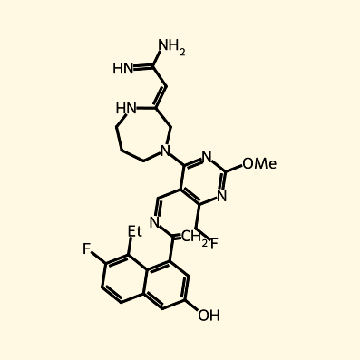 C=C(/N=C\c1c(CF)nc(OC)nc1N1CCCN/C(=C\C(=N)N)C1)c1cc(O)cc2ccc(F)c(CC)c12